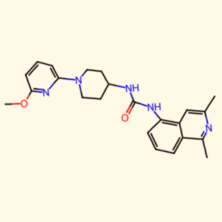 COc1cccc(N2CCC(NC(=O)Nc3cccc4c(C)nc(C)cc34)CC2)n1